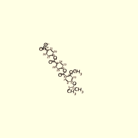 CC[C@@H](C)Oc1ccc(C(=O)Oc2ccc(C(=O)Oc3ccc([N+](=O)[O-])cc3)cc2)c(OC)c1